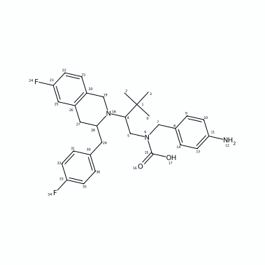 CC(C)(C)C(CN(Cc1ccc(N)cc1)C(=O)O)N1Cc2ccc(F)cc2CC1Cc1ccc(F)cc1